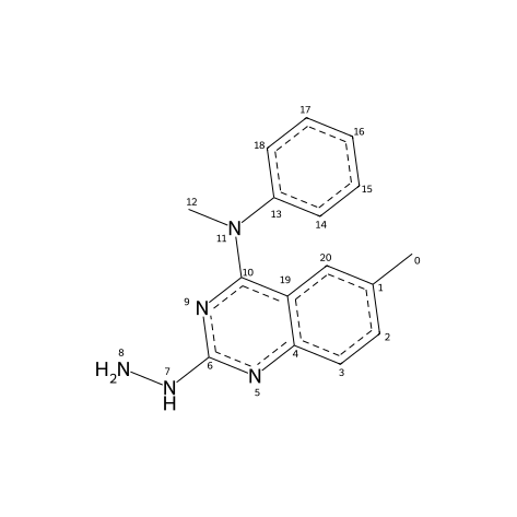 Cc1ccc2nc(NN)nc(N(C)c3ccccc3)c2c1